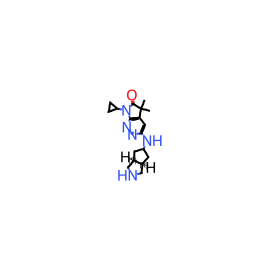 CC1(C)C(=O)N(C2CC2)c2nnc(NC3C[C@H]4CNC[C@H]4C3)cc21